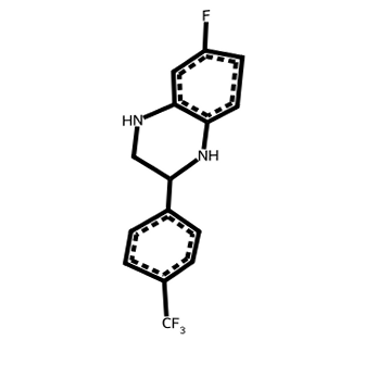 Fc1ccc2c(c1)NCC(c1ccc(C(F)(F)F)cc1)N2